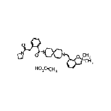 CC(=O)O.CC1(C)Cc2cccc(CN3CCC4(CC3)CCN(C(=O)c3ccccc3CC(=O)N3CCC3)CC4)c2O1